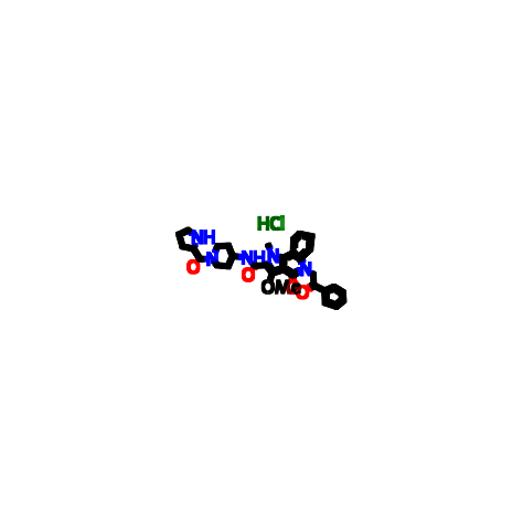 COc1c(C(=O)NC2CCN(C(=O)C3CCCN3)CC2)n(C)c2c1c(=O)n(CC(=O)c1ccccc1)c1ccccc21.Cl